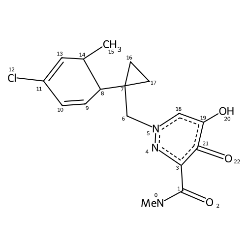 CNC(=O)c1nn(CC2(C3C=CC(Cl)=CC3C)CC2)cc(O)c1=O